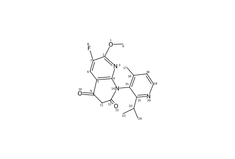 COc1nc2c(cc1F)C(=O)CC(=O)N2c1c(C)ccnc1C(C)C